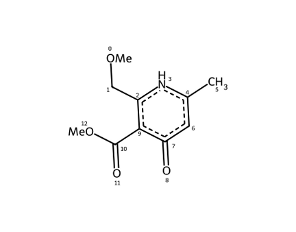 COCc1[nH]c(C)cc(=O)c1C(=O)OC